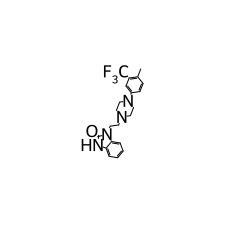 Cc1ccc(N2CCN(CCn3c(=O)[nH]c4ccccc43)CC2)cc1C(F)(F)F